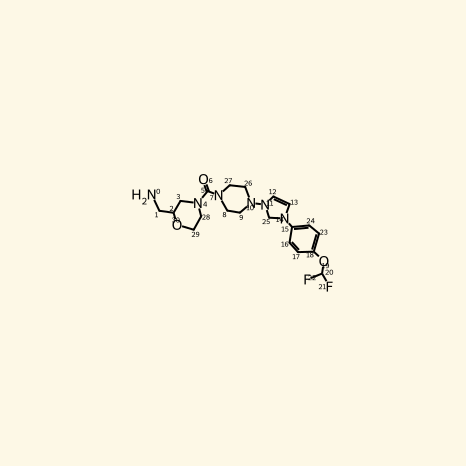 NCC1CN(C(=O)N2CCN(N3C=CN(c4ccc(OC(F)F)cc4)C3)CC2)CCO1